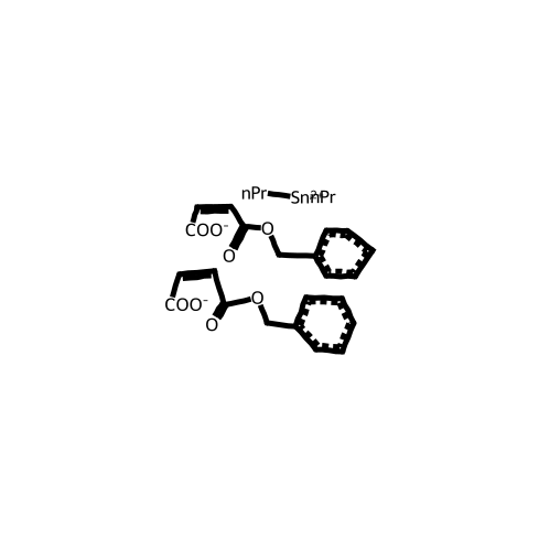 CC[CH2][Sn+2][CH2]CC.O=C([O-])/C=C\C(=O)OCc1ccccc1.O=C([O-])/C=C\C(=O)OCc1ccccc1